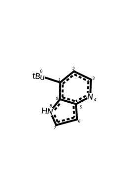 CC(C)(C)c1ccnc2cc[nH]c12